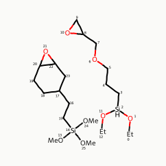 CCO[SiH](CCCOCC1CO1)OCC.CO[Si](CCC1CCC2OC2C1)(OC)OC